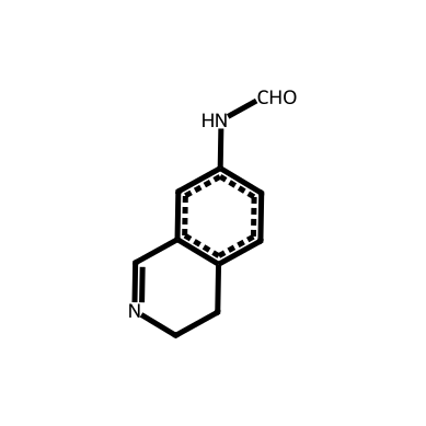 O=CNc1ccc2c(c1)C=NCC2